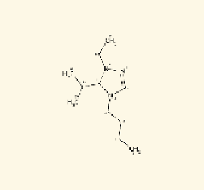 CCCCN1C=NN(CC)C1C(C)C